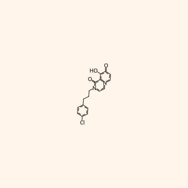 O=c1ccn2ccn(CCCc3ccc(Cl)cc3)c(=O)c2c1O